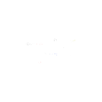 CC(C)C1(S)CCN1C(=O)OC(C)(C)C